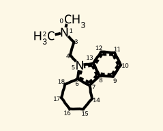 CN(C)CCn1c2c(c3ccccc31)CCCCC2